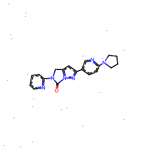 O=C1N(c2ccccn2)Cc2cc(-c3ccc(N4CCCC4)nc3)nn21